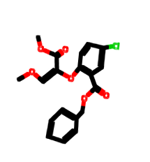 COC=C(Oc1ccc(Cl)cc1C(=O)OCc1ccccc1)C(=O)OC